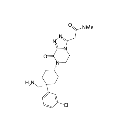 CNC(=O)Cc1nnc2n1CCN([C@H]1CC[C@](CN)(c3cccc(Cl)c3)CC1)C2=O